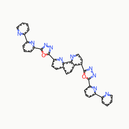 c1ccc(-c2cccc(-c3nnc(-c4ccc5ccc6c(-c7nnc(-c8cccc(-c9ccccn9)n8)o7)ccnc6c5n4)o3)n2)nc1